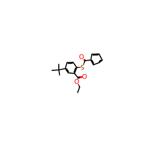 CCOC(=O)c1cc(C(C)(C)C)ccc1SC(=O)c1ccccc1